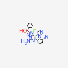 N#Cc1cccc(-c2nc(N)n3nc(C(O)c4ccccc4)nc3c2-c2ncncc2F)c1